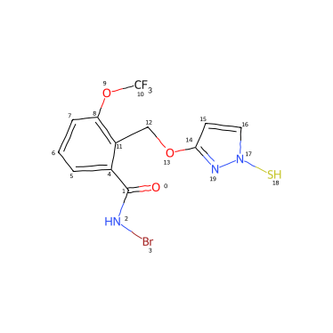 O=C(NBr)c1cccc(OC(F)(F)F)c1COc1ccn(S)n1